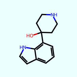 OC1(c2cccc3cc[nH]c23)CCNCC1